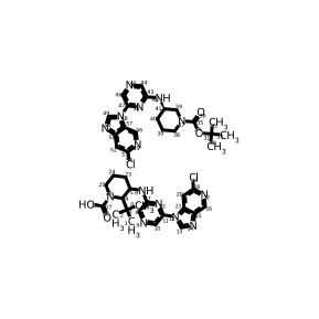 CC(C)(C)C1C(Nc2cncc(-n3cnc4cnc(Cl)cc43)n2)CCCN1C(=O)O.CC(C)(C)OC(=O)N1CCC[C@@H](Nc2cncc(-n3cnc4cc(Cl)ncc43)n2)C1